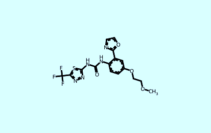 COCCOc1ccc(NC(=O)Nc2nnc(C(F)(F)F)s2)c(-c2ncco2)c1